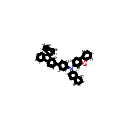 c1ccc2c(c1)-c1ccc(-c3ccc(N(c4ccc5ccccc5c4)c4ccc5c(c4)oc4ccccc45)cc3)cc1C21C2CC3CC(C2)[C@H]1C3